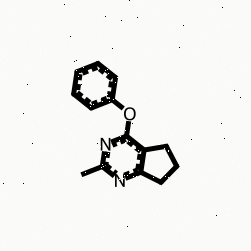 Cc1nc2c(c(Oc3ccccc3)n1)CCC2